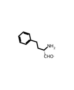 N[C@H]([C]=O)CCc1ccccc1